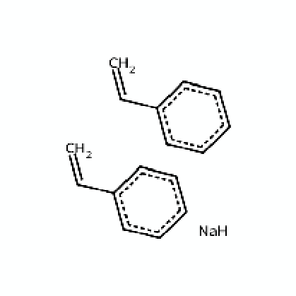 C=Cc1ccccc1.C=Cc1ccccc1.[NaH]